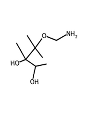 CC(O)C(C)(O)C(C)(C)OCN